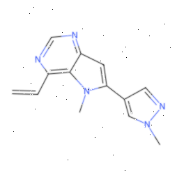 C=Cc1ncnc2cc(-c3cnn(C)c3)n(C)c12